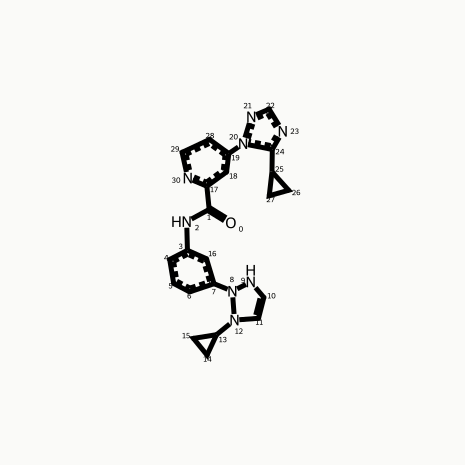 O=C(Nc1cccc(N2NC=CN2C2CC2)c1)c1cc(-n2ncnc2C2CC2)ccn1